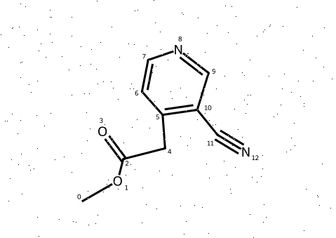 COC(=O)Cc1ccncc1C#N